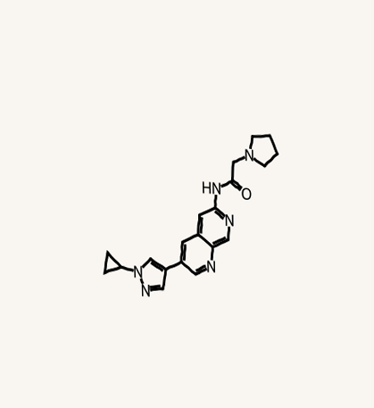 O=C(CN1CCCC1)Nc1cc2cc(-c3cnn(C4CC4)c3)cnc2cn1